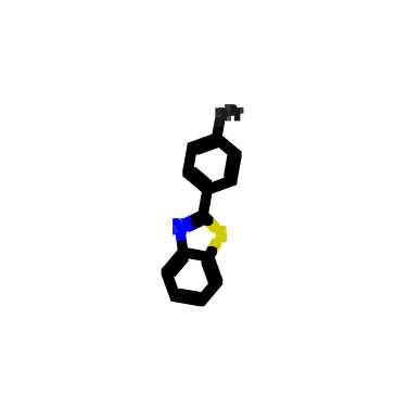 CCCc1ccc(-c2nc3ccccc3s2)cc1